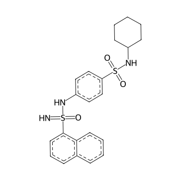 N=S(=O)(Nc1ccc(S(=O)(=O)NC2CCCCC2)cc1)c1cccc2ccccc12